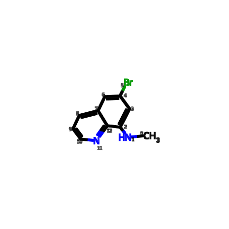 CNc1cc(Br)cc2cccnc12